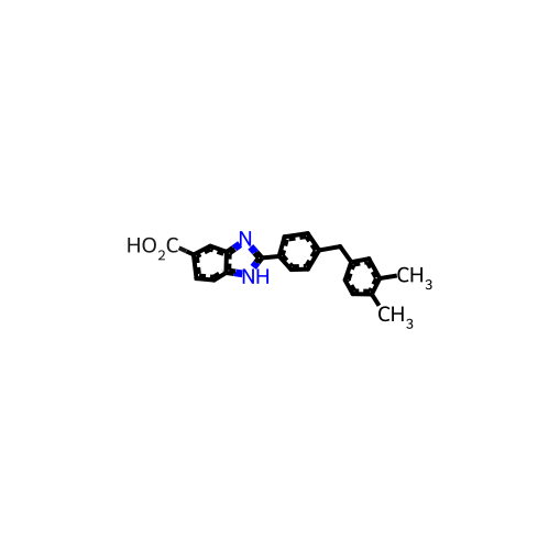 Cc1ccc(Cc2ccc(-c3nc4cc(C(=O)O)ccc4[nH]3)cc2)cc1C